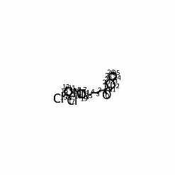 O=C(CCCCN1CCN(c2cccc(Cl)c2Cl)CC1)N1CCc2ccccc2C1